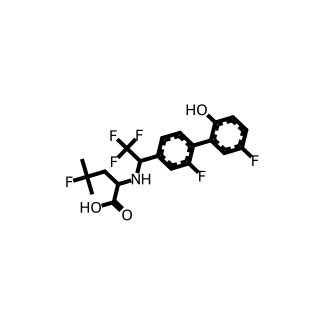 CC(C)(F)CC(NC(c1ccc(-c2cc(F)ccc2O)c(F)c1)C(F)(F)F)C(=O)O